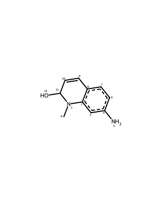 CN1c2cc(N)ccc2C=CC1O